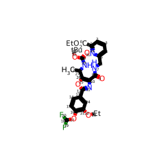 CCOC(=O)c1cccc(CNC(=O)c2nc(-c3ccc(OC(F)F)c(OCC)c3)oc2C(C)NC(=O)OC(C)(C)C)n1